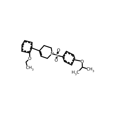 CCOc1ccccc1C1=CCN(S(=O)(=O)c2ccc(OC(C)C)cc2)CC1